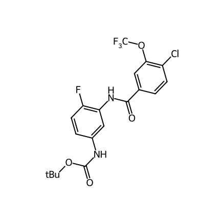 CC(C)(C)OC(=O)Nc1ccc(F)c(NC(=O)c2ccc(Cl)c(OC(F)(F)F)c2)c1